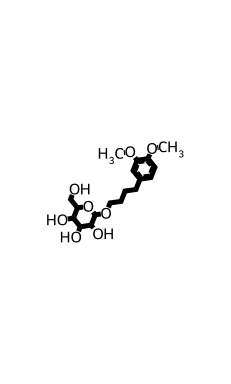 COc1ccc(CCCCOC2OC(CO)C(O)C(O)C2O)cc1OC